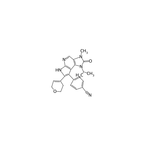 CC(C)n1c(=O)n(C)c2cnc3[nH]c(C4=CCOCC4)c(-c4ccc(C#N)cc4)c3c21